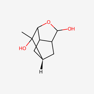 CC1(O)C2OC(O)C3C[C@@H]1CC32